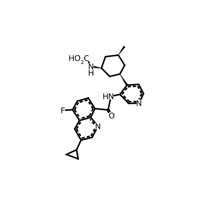 C[C@@H]1C[C@H](NC(=O)O)C[C@H](c2ccncc2NC(=O)c2ccc(F)c3cc(C4CC4)cnc23)C1